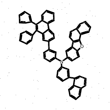 c1ccc(-c2c(-c3ccccc3)c3cc(-c4cccc(N(c5cccc(-c6cccc7ccccc67)c5)c5ccc6oc7c8ccccc8ccc7c6c5)c4)ccc3c3ccccc23)cc1